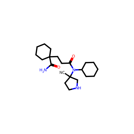 N#CC1(N(C(=O)[CH]CC2(C(N)=O)CCCCC2)C2CCCCC2)CCNC1